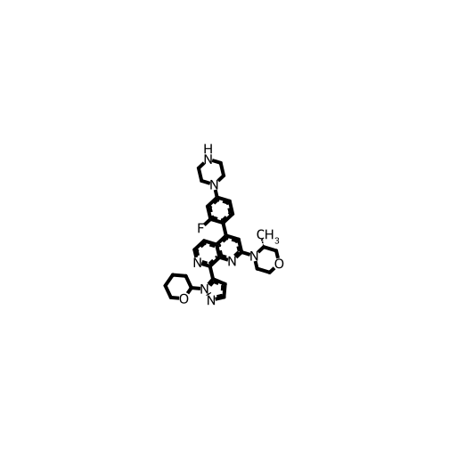 C[C@@H]1COCCN1c1cc(-c2ccc(N3CCNCC3)cc2F)c2ccnc(-c3ccnn3C3CCCCO3)c2n1